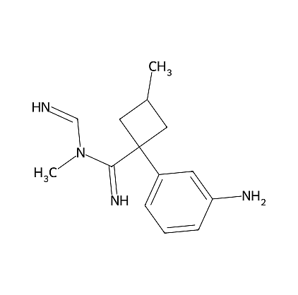 CC1CC(C(=N)N(C)C=N)(c2cccc(N)c2)C1